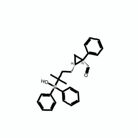 CC(C)(CC[C@@H]1C[C@@]1(C=O)c1ccccc1)[Si](O)(c1ccccc1)c1ccccc1